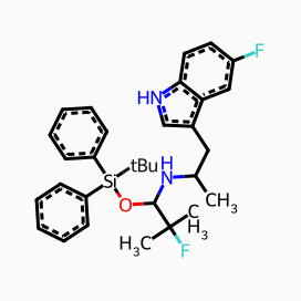 CC(Cc1c[nH]c2ccc(F)cc12)NC(O[Si](c1ccccc1)(c1ccccc1)C(C)(C)C)C(C)(C)F